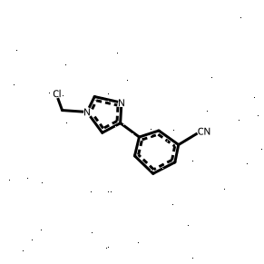 N#Cc1cccc(-c2cn(CCl)cn2)c1